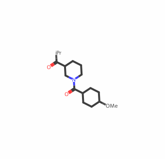 COC1CCC(C(=O)N2CCCC(C(=O)C(C)C)C2)CC1